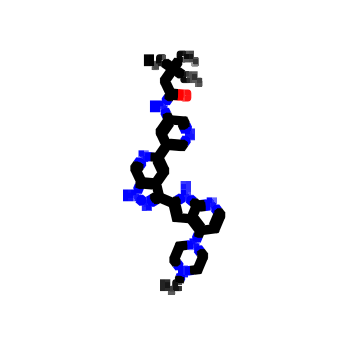 CN1CCN(c2ccnc3[nH]c(-c4n[nH]c5cnc(-c6cncc(NC(=O)CC(C)(C)C)c6)cc45)cc23)CC1